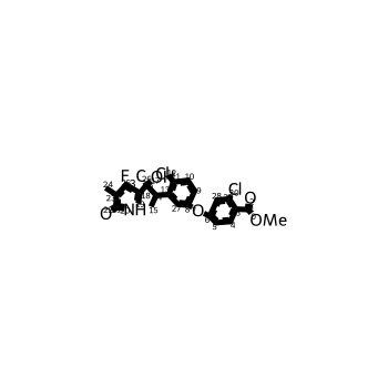 COC(=O)c1ccc(Oc2ccc(Cl)c(C(C)C(O)(c3c[nH]c(=O)c(C)c3)C(F)(F)F)c2)cc1Cl